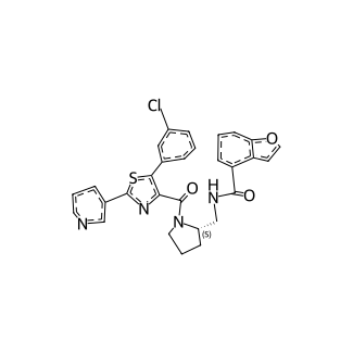 O=C(NC[C@@H]1CCCN1C(=O)c1nc(-c2cccnc2)sc1-c1cccc(Cl)c1)c1cccc2occc12